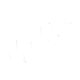 C=CC(CC(C)(C)CC(C)(C)C)c1ccc2cccnc2c1O